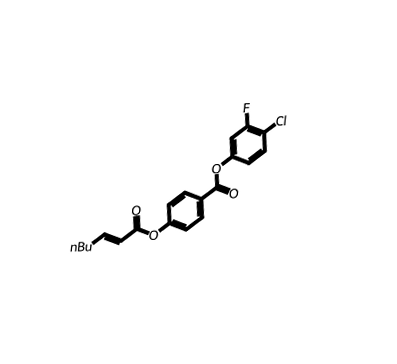 CCCCC=CC(=O)Oc1ccc(C(=O)Oc2ccc(Cl)c(F)c2)cc1